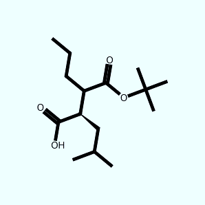 CCCC(C(=O)OC(C)(C)C)[C@@H](CC(C)C)C(=O)O